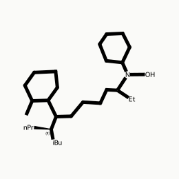 CCC[C@H](C(C)CC)C(CCCCC(CC)N(O)C1CCCCC1)C1CCCCC1C